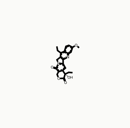 CCc1c2c(nc3cc(OC)ccc13)-c1cc3c(c(=O)n1C2)COC(=O)[C@]3(O)CC